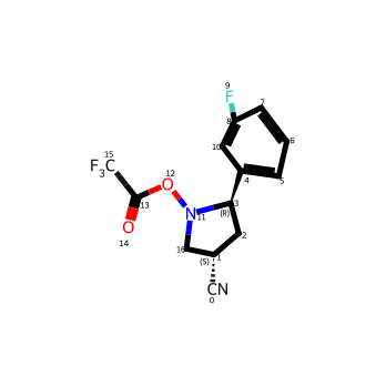 N#C[C@H]1C[C@H](c2cccc(F)c2)N(OC(=O)C(F)(F)F)C1